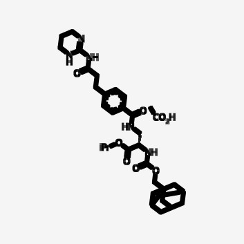 CC(=O)O.CC(C)OC(=O)[C@H](CNC(=O)c1ccc(CCC(=O)NC2=NCCCN2)cc1)NC(=O)OCC12CC3CC(CC(C3)C1)C2